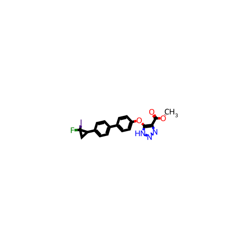 COC(=O)c1nn[nH]c1Oc1ccc(-c2ccc(C3CC3(F)I)cc2)cc1